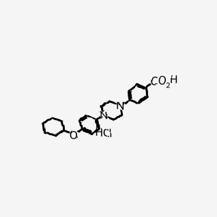 Cl.O=C(O)c1ccc(N2CCN(c3ccc(OC4CCCCC4)cc3)CC2)cc1